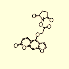 O=C(COc1c2ccoc2cc2oc(=O)ccc12)ON1C(=O)CCC1=O